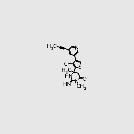 CC#Cc1cncc(-c2csc([C@]3(C)CC(=O)N(C)C(=N)N3)c2Cl)c1